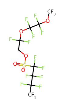 O=S(=O)(OCC(F)(F)OC(F)(F)C(F)(F)OC(F)(F)F)C(F)(F)C(F)(F)C(F)(F)C(F)(F)F